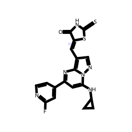 O=C1NC(=S)S/C1=C\c1cnn2c(NC3CC3)cc(-c3ccnc(F)c3)nc12